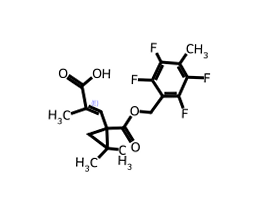 C/C(=C\C1(C(=O)OCc2c(F)c(F)c(C)c(F)c2F)CC1(C)C)C(=O)O